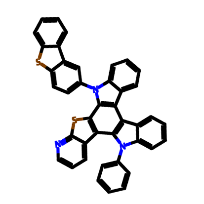 c1ccc(-n2c3ccccc3c3c4c5ccccc5n(-c5ccc6sc7ccccc7c6c5)c4c4sc5ncccc5c4c32)cc1